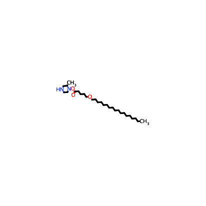 CCCCCCCCCCCCCCCCCCOCCCCC(=O)ON1CCNCC1C